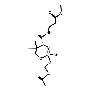 COC(=O)CCNC(=O)[C@@H]1O[PH](O)(OCOC(C)=O)OCC1(C)C